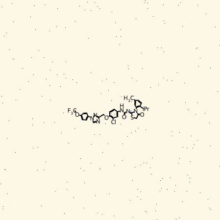 Cc1ccc(C(C)C)c(N2C(=O)CS/C2=N\C(=O)Nc2ccc(OCc3ncn(-c4ccc(OC(F)(F)F)cc4)n3)c(Cl)c2)c1